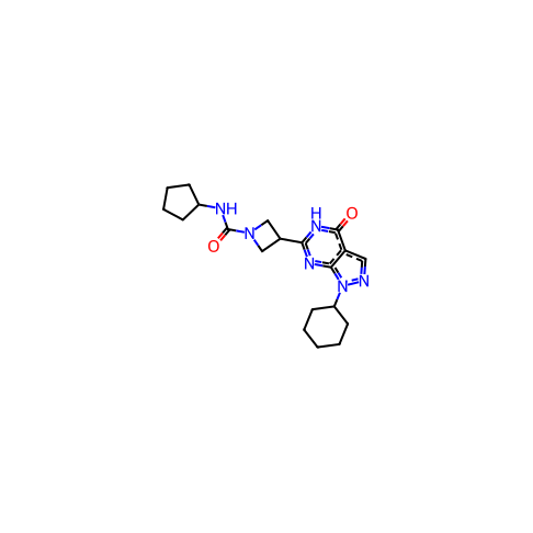 O=C(NC1CCCC1)N1CC(c2nc3c(cnn3C3CCCCC3)c(=O)[nH]2)C1